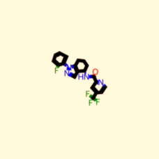 O=C(N[C@@H]1CCCc2c1cnn2-c1ccccc1F)c1cc(C(F)(F)F)ccn1